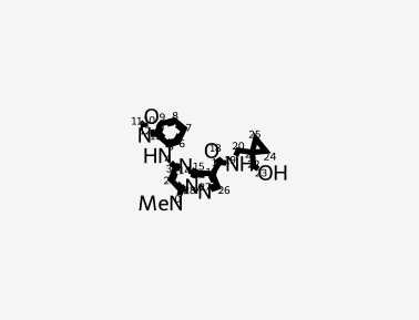 CNc1cc(Nc2cccc3ocnc23)nc2c(C(=O)NCC3(CO)CC3)cnn12